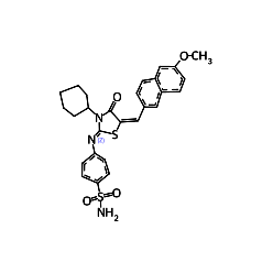 COc1ccc2cc(C=C3S/C(=N\c4ccc(S(N)(=O)=O)cc4)N(C4CCCCC4)C3=O)ccc2c1